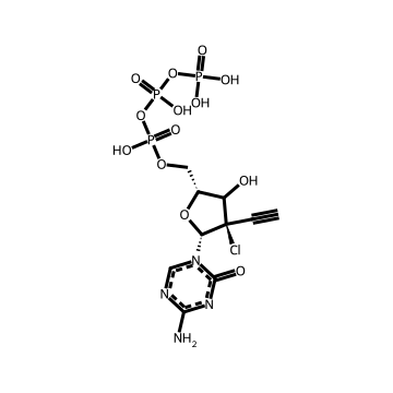 C#C[C@@]1(Cl)C(O)[C@@H](COP(=O)(O)OP(=O)(O)OP(=O)(O)O)O[C@H]1n1cnc(N)nc1=O